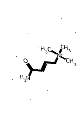 C[N+](C)(C)CC=CC(N)=O